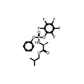 CC(C)COC(=O)[C@H](C)NP(=O)(Oc1ccccc1)Oc1c(F)c(F)c(F)c(F)c1F